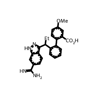 CCC(c1ccccc1-c1ccc(OC)cc1C(=O)O)c1n[nH]c2cc(C(=N)N)ccc12